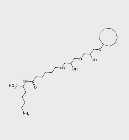 NCCCCC(NC(=O)CCCCCNCC(O)COCC(O)COC1CCCCCCCC1)C(=O)O